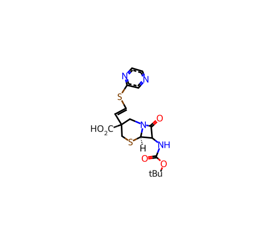 CC(C)(C)OC(=O)NC1C(=O)N2CC(C=CSc3cnccn3)(C(=O)O)CS[C@H]12